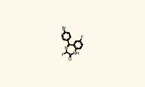 O=C1Nc2ccc(F)cc2C(c2ccc(Br)cc2)=NC1F